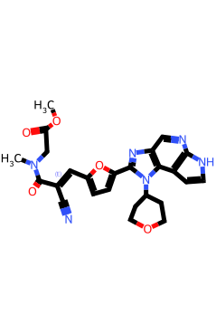 COC(=O)CN(C)C(=O)/C(C#N)=C/c1ccc(-c2nc3cnc4[nH]ccc4c3n2C2CCOCC2)o1